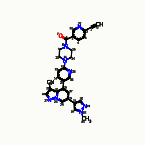 C#Cc1ccc(C(=O)N2CCN(c3ccc(-c4cc(-c5cnn(C)c5)cn5ncc(C#N)c45)cn3)CC2)cn1